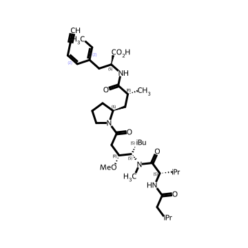 C#C/C=C\C(=C/C)C[C@H](NC(=O)[C@H](C)C[C@@H]1CCCN1C(=O)C[C@@H](OC)[C@H]([C@@H](C)CC)N(C)C(=O)[C@@H](NC(=O)CC(C)C)C(C)C)C(=O)O